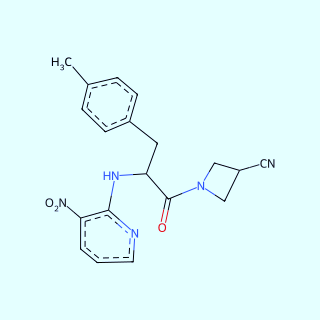 Cc1ccc(CC(Nc2ncccc2[N+](=O)[O-])C(=O)N2CC(C#N)C2)cc1